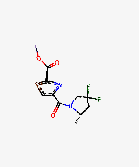 C[C@H]1CC(F)(F)CN1C(=O)c1csc(C(=O)OI)n1